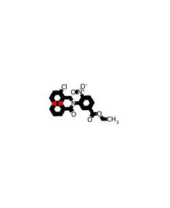 CCOC(=O)c1ccc([N+](=O)[O-])c(N(Cc2ccccc2Cl)C(=O)c2ccccc2)c1